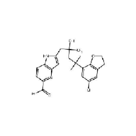 CC(C)C(=O)c1ccc2[nH]c(CC(O)(CC(C)(C)c3cc(Cl)cc4c3OCC4)C(F)(F)F)cc2n1